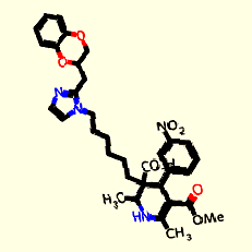 COC(=O)C1=C(C)NC(C)C(CCCCCCn2ccnc2CC2COc3ccccc3O2)(C(=O)O)C1c1cccc([N+](=O)[O-])c1